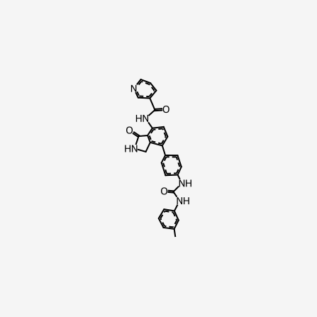 Cc1cccc(NC(=O)Nc2ccc(-c3ccc(NC(=O)c4cccnc4)c4c3CNC4=O)cc2)c1